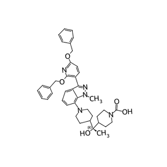 Cn1nc(-c2ccc(OCc3ccccc3)nc2OCc2ccccc2)c2cccc(N3CCC([C@@](C)(O)C4CCN(C(=O)O)CC4)CC3)c21